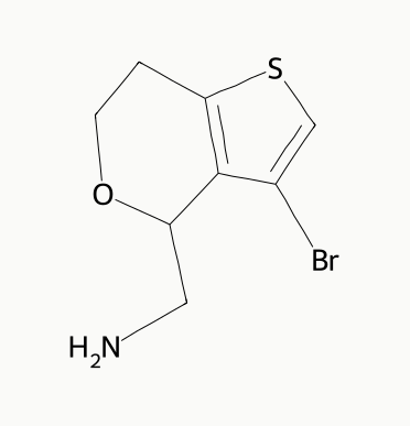 NCC1OCCc2scc(Br)c21